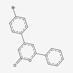 O=c1cc(-c2ccc(Br)cc2)cc(-c2ccccc2)o1